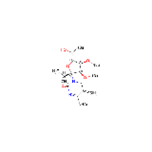 CC(=O)NC1=NC(=O)N([C@]2([SiH](C)C)O[C@H](C(O)C(C)(C)C)[C@@H](OC(C)(C)C)[C@H]2OC(C)(C)C)CC1=[SiH2]